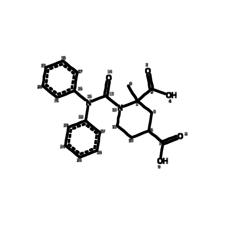 CC1(C(=O)O)CC(C(=O)O)CCN1C(=O)N(c1ccccc1)c1ccccc1